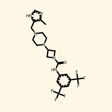 Cc1nc[nH]c1CN1CCN(C2CN(C(=O)Nc3cc(C(F)(F)F)cc(C(F)(F)F)c3)C2)CC1